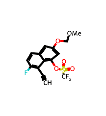 C#Cc1c(F)ccc2cc(OCOC)cc(OS(=O)(=O)C(F)(F)F)c12